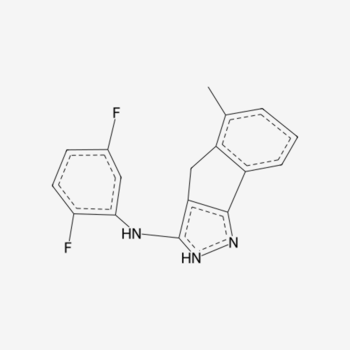 Cc1cccc2c1Cc1c-2n[nH]c1Nc1cc(F)ccc1F